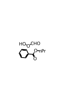 CCCOC(=O)c1ccccc1.O=COO